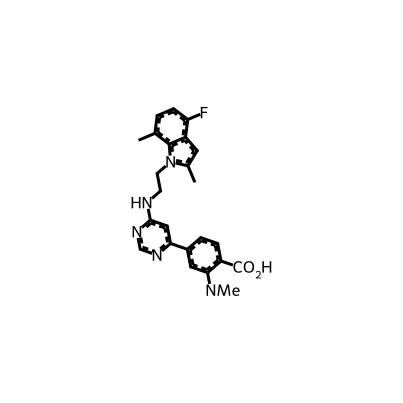 CNc1cc(-c2cc(NCCn3c(C)cc4c(F)ccc(C)c43)ncn2)ccc1C(=O)O